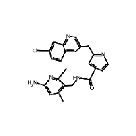 Cc1cc(N)nc(C)c1CNC(=O)c1ccnc(Cc2cnc3cc(Cl)ccc3c2)c1